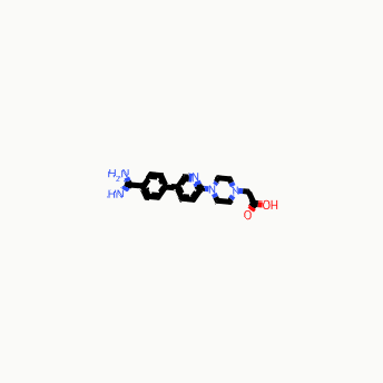 N=C(N)c1ccc(-c2ccc(N3CCN(CC(=O)O)CC3)nc2)cc1